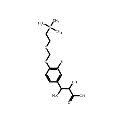 CC(c1ccc(OCOCC[Si](C)(C)C)c(Br)c1)C(O)C(=O)O